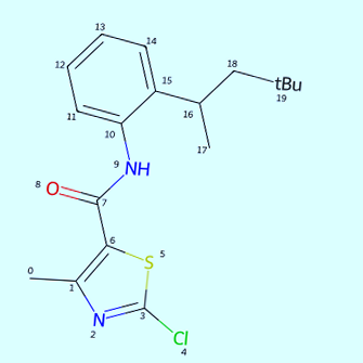 Cc1nc(Cl)sc1C(=O)Nc1ccccc1C(C)CC(C)(C)C